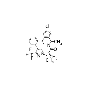 C=CC(=O)N1CC(c2ccccc2-c2cn(CC)nc2C(F)(F)F)c2cc(Cl)sc2C1C